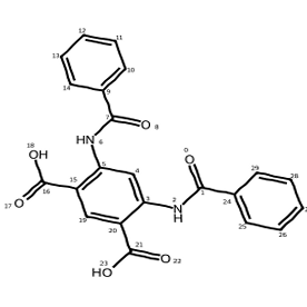 O=C(Nc1cc(NC(=O)c2ccccc2)c(C(=O)O)cc1C(=O)O)c1ccccc1